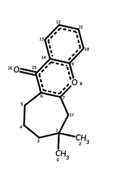 CC1(C)CCCc2c(oc3ccccc3c2=O)C1